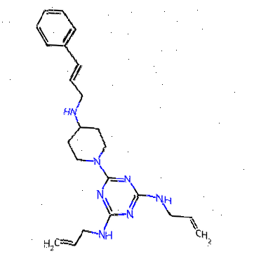 C=CCNc1nc(NCC=C)nc(N2CCC(NCC=Cc3ccccc3)CC2)n1